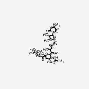 CC(=O)N[C@@H]1[C@@H](O)CC(O)(C(=O)O)O[C@H]1C(O)C(O)CO.Nc1ccn([C@@H]2O[C@H](CO)[C@@H](O)[C@H]2O)c(=O)n1.O=P(O)(O)O